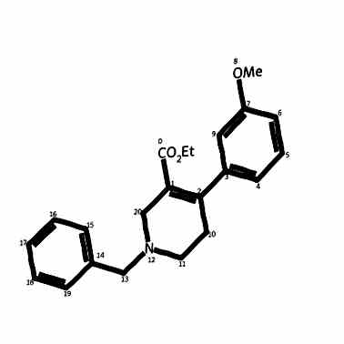 CCOC(=O)C1=C(c2cccc(OC)c2)CCN(Cc2ccccc2)C1